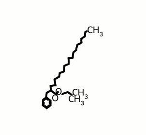 CCCCCCCCCCCCCCCCCCC(Cc1ccccc1)C(=O)OCCC(C)C